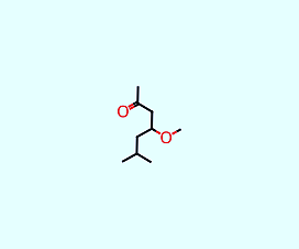 COC(CC(C)=O)CC(C)C